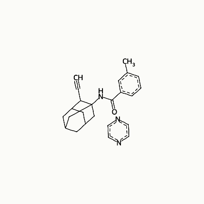 C#CC1C2CC3CC(C2)CC1(NC(=O)c1cccc(C)c1)C3.c1cnccn1